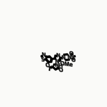 COc1nc(-c2cc(O[C@H](C)[C@H]3CNC(=O)C3)c3scnc3c2)cnc1N1CCN(S(C)(=O)=O)CC1